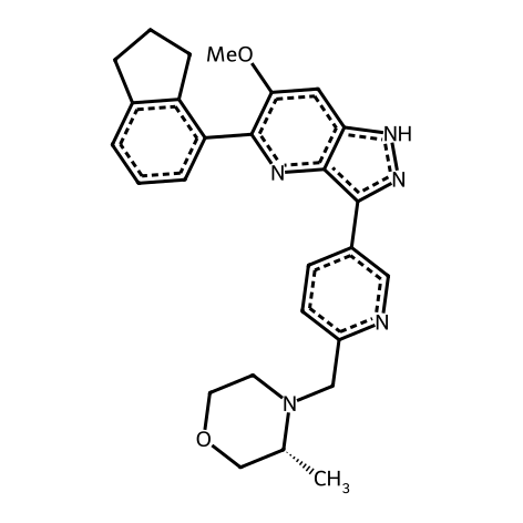 COc1cc2[nH]nc(-c3ccc(CN4CCOC[C@H]4C)nc3)c2nc1-c1cccc2c1CCC2